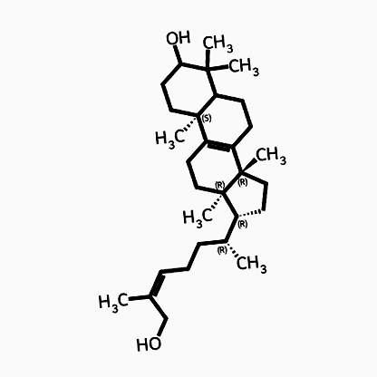 CC(=CCC[C@@H](C)[C@H]1CC[C@@]2(C)C3=C(CC[C@]12C)[C@@]1(C)CCC(O)C(C)(C)C1CC3)CO